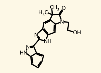 CC1(C)C(=O)N(CCO)c2cc3[nH]c(-c4n[nH]c5ccccc45)nc3cc21